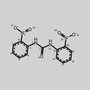 O=C(Nc1ccccc1[N+](=O)[O-])Nc1ccccc1[N+](=O)[O-]